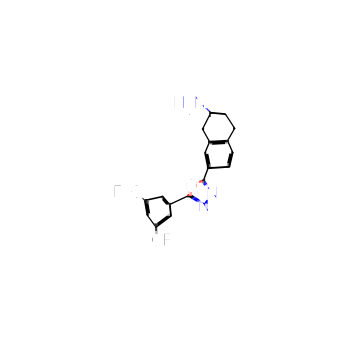 N[C]1CCc2ccc(-c3nnc(-c4cc(C(F)(F)F)cc(C(F)(F)F)c4)o3)cc2C1